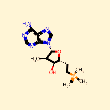 C=P(C)(C)CC[C@H]1O[C@@H](n2cnc3c(N)ncnc32)[C@H](C)[C@@H]1O